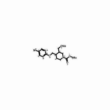 COCC1CN(C(=O)OC(C)(C)C)CCC1COc1ncc(Br)cn1